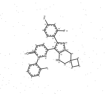 Cc1ccccc1-n1nc(-c2c(-c3ccc(F)cc3F)nn3c2NCC2(CCC2)C3)ccc1=O